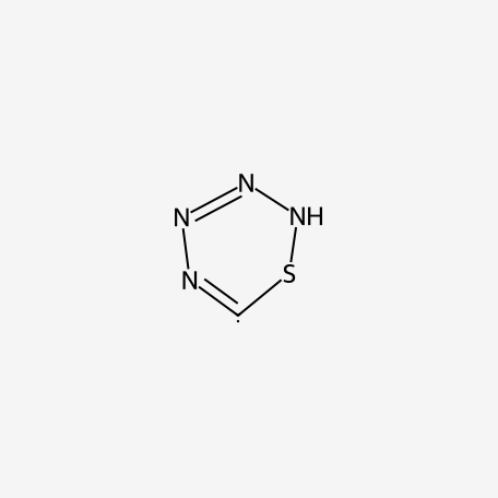 [C]1=NN=NNS1